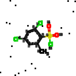 Cc1cc(Cl)cc(Cl)c1S(=O)(=O)Cl